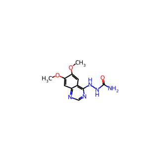 COc1cc2ncnc(NNC(N)=O)c2cc1OC